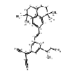 CCC(C)C1=CC(=C(C#N)C#N)C=C(/C=C/c2cc3c4c(c2)C(C)(C)CCN4CCC3(C)C)O1